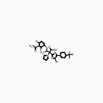 CC(Oc1ccc(F)c(C(N)=O)c1F)C(C(=O)O)(c1nc(-c2ccc(C(F)(F)F)cc2)c(Br)o1)n1cccc1